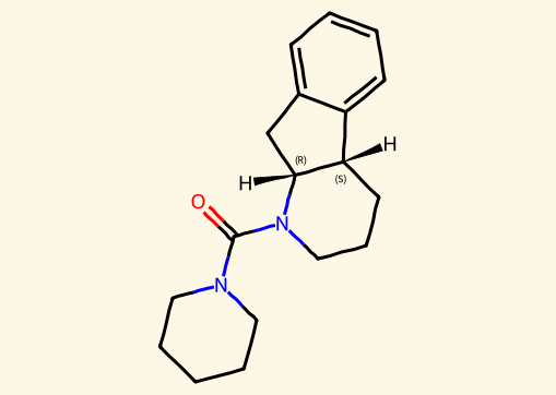 O=C(N1CCCCC1)N1CCC[C@H]2c3ccccc3C[C@H]21